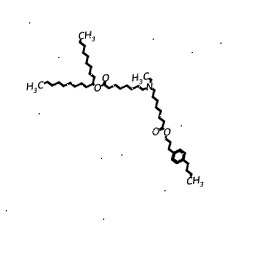 CCCCCCCCCC(CCCCCCCCC)OC(=O)CCCCCCCN(CC)CCCCCCCC(=O)OCCCc1ccc(CCCC)cc1